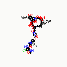 C=CC(=O)Nc1cc(Cl)cc(NC(=O)c2cnn(-c3ccc(OCC(=O)N4CCN(C(=O)CCC[C@@H]5/C=C(\C)C[C@H](C)C[C@H](OC)[C@H]6O[C@@](O)(C(=O)C(=O)N7CCCC8/C(=C\[C@@H]9CC[C@@H](O)[C@H](OC)C9)[C@@H](OC(=O)[C@H]87)[C@H](C)[C@@H](O)CC5=O)[C@H](C)C[C@@H]6OC)CC4)cc3)c2C(F)(F)F)c1